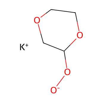 [K+].[O-]OC1COCCO1